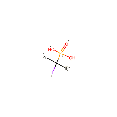 CC(C)C(I)(C(C)C)P(=O)(O)O